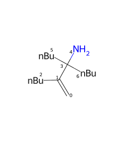 C=C(CCCC)C(N)(CCCC)CCCC